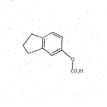 C[CH]OC(=O)Oc1ccc2c(c1)CCC2